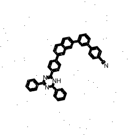 N#Cc1ccc(-c2cccc(-c3ccc4ccc(-c5ccc(C6=NC(c7ccccc7)=NC(c7ccccc7)N6)cc5)cc4c3)c2)cc1